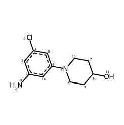 Nc1cc(Cl)cc(N2CCC(O)CC2)c1